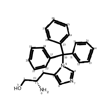 N[C@H](CO)Cc1cncn1C(c1ccccc1)(c1ccccc1)c1ccccc1